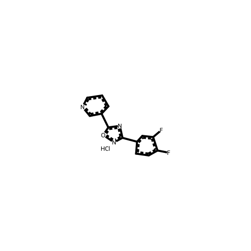 Cl.Fc1ccc(-c2noc(-c3cccnc3)n2)cc1F